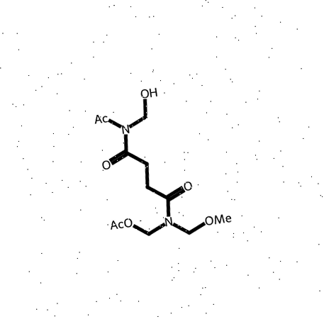 COCN(COC(C)=O)C(=O)CCC(=O)N(CO)C(C)=O